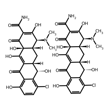 CN(C)[C@@H]1C(O)=C(C(N)=O)C(=O)[C@@]2(O)C(O)=C3C(=O)c4c(O)ccc(Cl)c4[C@@H](O)[C@H]3C[C@@H]12.CN(C)[C@@H]1C(O)=C(C(N)=O)C(=O)[C@@]2(O)C(O)=C3C(=O)c4c(O)ccc(Cl)c4[C@@H](O)[C@H]3C[C@@H]12